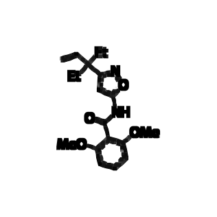 C=CC(CC)(CC)c1cc(NC(=O)c2c(OC)cccc2OC)on1